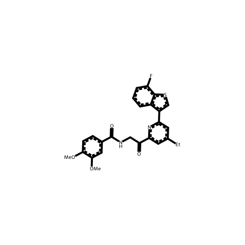 CCc1cc(C(=O)CNC(=O)c2ccc(OC)c(OC)c2)nc(-c2csc3c(F)cccc23)c1